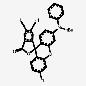 CCCCN(c1ccccc1)c1ccc2c(c1)Oc1cc(Cl)ccc1C21OC(=O)c2cc(Cl)c(Cl)cc21